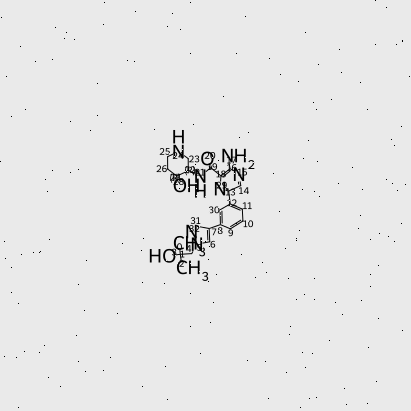 CC(C)(O)Cn1cc(-c2cccc(-c3cnc(N)c(C(=O)N[C@@H]4CNCC[C@H]4O)n3)c2)cn1